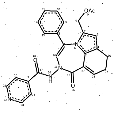 CC(=O)OCc1cc2c3n1C(c1ccccc1)=CN(NC(=O)c1ccncc1)C(=O)C3=CCC2